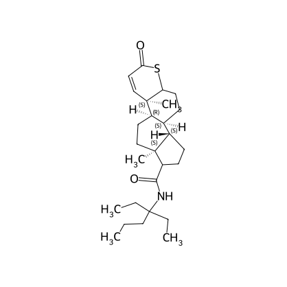 CCCC(CC)(CC)NC(=O)C1CC[C@H]2[C@@H]3CCC4SC(=O)C=C[C@]4(C)[C@@H]3CC[C@]12C